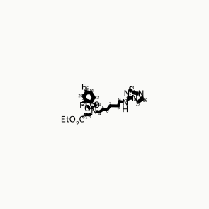 CCOC(=O)CCN(CCCCCCNc1nsc2nccn12)S(=O)(=O)c1ccc(F)cc1F